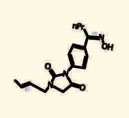 C/C=C/CN1CC(=O)N(c2ccc(/C(CCC)=N\O)cc2)C1=O